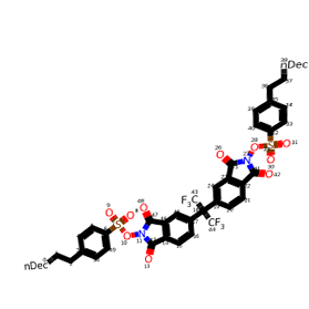 CCCCCCCCCCCCc1ccc(S(=O)(=O)ON2C(=O)c3ccc(C(c4ccc5c(c4)C(=O)N(OS(=O)(=O)c4ccc(CCCCCCCCCCCC)cc4)C5=O)(C(F)(F)F)C(F)(F)F)cc3C2=O)cc1